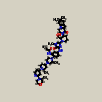 C=CC(=O)Nc1cc(Nc2nc(N3CCCC(N4CCn5c(cc6c5CC(C)(C)C6)C4=O)C3CO)cn(C)c2=O)ccc1N1CCN(C2CCN(c3ccnc(N4CCOC[C@@H]4C)c3)[C@@H](C)C2)C[C@@H]1C